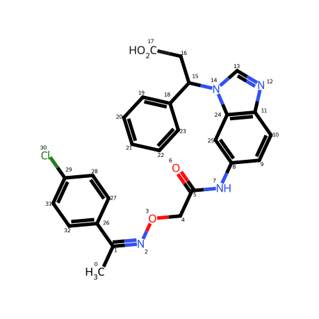 C/C(=N/OCC(=O)Nc1ccc2ncn(C(CC(=O)O)c3ccccc3)c2c1)c1ccc(Cl)cc1